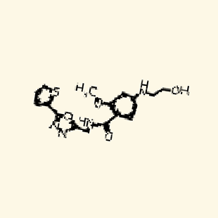 COc1cc(NCCO)ccc1C(=O)NCc1nnc(-c2cccs2)o1